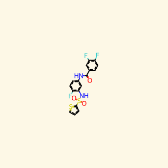 O=C(Nc1ccc(F)c(NS(=O)(=O)c2cccs2)c1)c1ccc(F)c(F)c1